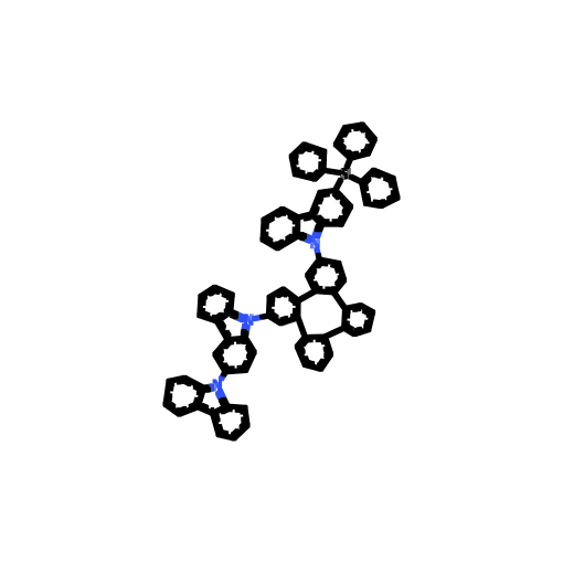 c1ccc([Si](c2ccccc2)(c2ccccc2)c2ccc3c(c2)c2ccccc2n3-c2ccc3c(c2)-c2ccc(-n4c5ccccc5c5cc(-n6c7ccccc7c7ccccc76)ccc54)cc2-c2ccccc2-c2ccccc2-3)cc1